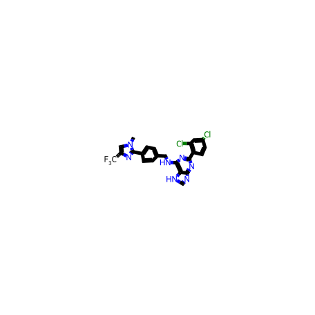 Cn1cc(C(F)(F)F)nc1-c1ccc(CNc2nc(-c3ccc(Cl)cc3Cl)nc3nc[nH]c23)cc1